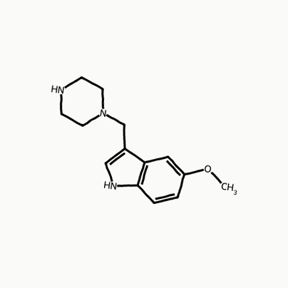 COc1ccc2[nH]cc(CN3CCNCC3)c2c1